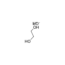 OCCO.[Li+].[OH-]